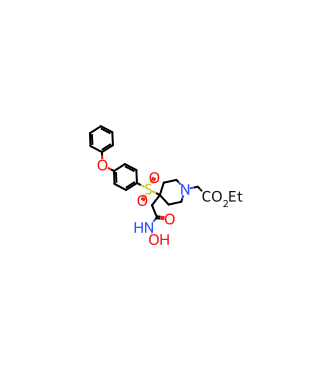 CCOC(=O)CN1CCC(CC(=O)NO)(S(=O)(=O)c2ccc(Oc3ccccc3)cc2)CC1